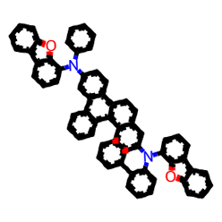 c1ccc(-c2ccccc2N(c2ccc3c(ccc4c5ccc(N(c6ccccc6)c6cccc7c6oc6ccccc67)cc5c5ccccc5c34)c2)c2cccc3c2oc2ccccc23)cc1